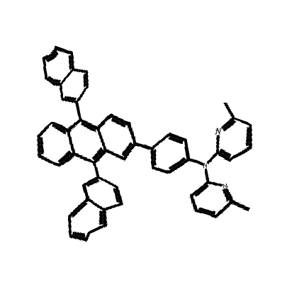 Cc1cccc(N(c2ccc(-c3ccc4c(-c5ccc6ccccc6c5)c5ccccc5c(-c5ccc6ccccc6c5)c4c3)cc2)c2cccc(C)n2)n1